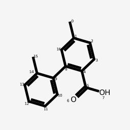 Cc1ccc(C(=O)O)c(-c2ccccc2C)c1